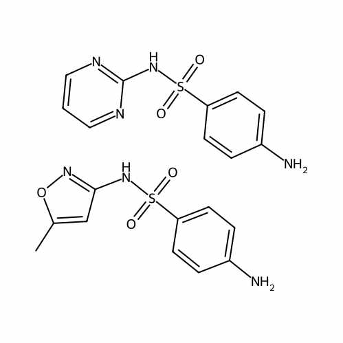 Cc1cc(NS(=O)(=O)c2ccc(N)cc2)no1.Nc1ccc(S(=O)(=O)Nc2ncccn2)cc1